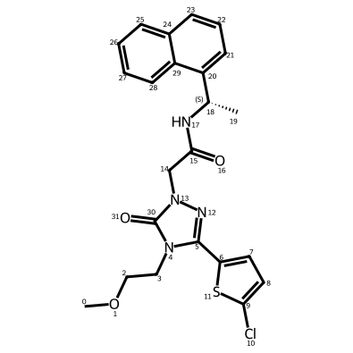 COCCn1c(-c2ccc(Cl)s2)nn(CC(=O)N[C@@H](C)c2cccc3ccccc23)c1=O